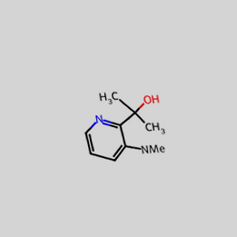 CNc1cccnc1C(C)(C)O